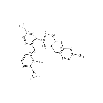 Cc1ccc(CC2CON=C(c3cc(C)ncc3Oc3cccc(C4CC4)c3F)N2)c(Br)c1